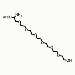 COC(N)COCCOCCOCCOCCOCCOCCO